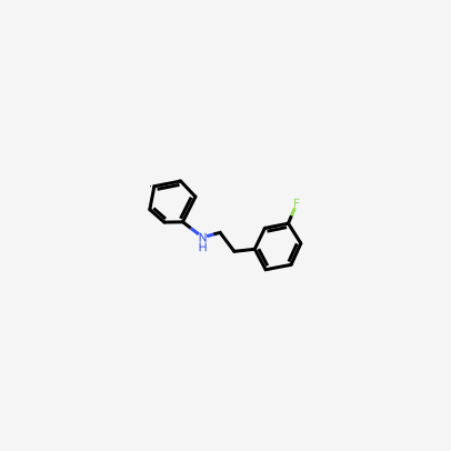 Fc1cccc(CCNc2cc[c]cc2)c1